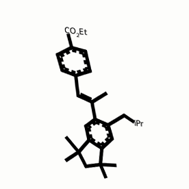 CCOC(=O)c1ccc(C=C(C)c2cc3c(cc2CC(C)C)C(C)(C)CC3(C)C)cc1